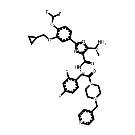 C[C@H](N)c1oc(-c2ccc(OC(F)F)c(OCC3CC3)c2)nc1C(=O)N[C@H](C(=O)N1CCN(Cc2ccncc2)CC1)c1ccc(F)cc1F